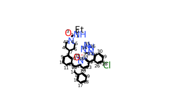 CCNC(=O)N1CCC(c2cccc([C@@H](Cc3ccccc3)c3ccc(-c4cc(Cl)ccc4-n4cnnn4)c[n+]3[O-])c2)CC1